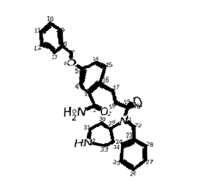 NC(=O)c1cc(OCc2ccccc2)ccc1C[CH]C(=O)N(Cc1ccccc1)C1CCNCC1